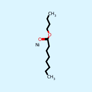 CCCCCCCC(=O)OCCCC.[Ni]